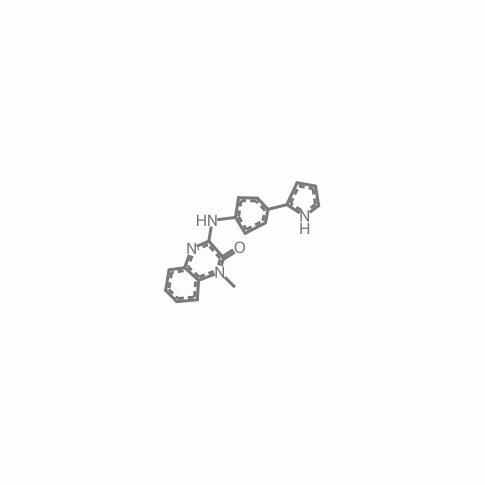 Cn1c(=O)c(Nc2ccc(-c3ccc[nH]3)cc2)nc2ccccc21